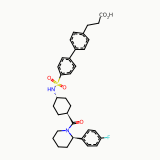 O=C(O)CCc1ccc(-c2ccc(S(=O)(=O)N[C@H]3CC[C@H](C(=O)N4CCCC[C@@H]4c4ccc(F)cc4)CC3)cc2)cc1